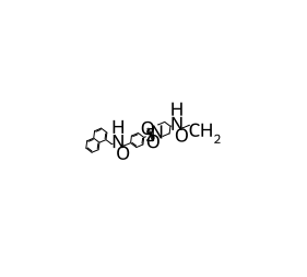 C=CC(=O)NC1CCN(S(=O)(=O)c2ccc(C(=O)NCc3cccc4ccccc34)cc2)CC1